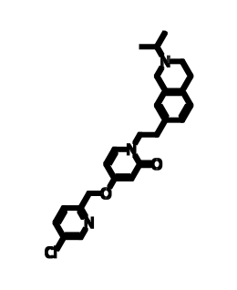 CC(C)N1CCc2ccc(CCn3ccc(OCc4ccc(Cl)cn4)cc3=O)cc2C1